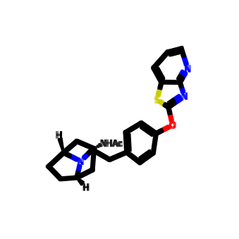 CC(=O)N[C@H]1C[C@H]2CC[C@@H](C1)N2CCc1ccc(Oc2nc3ncccc3s2)cc1